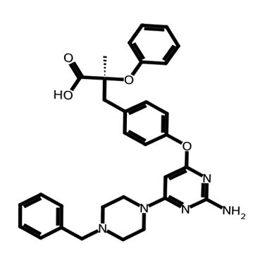 C[C@@](Cc1ccc(Oc2cc(N3CCN(Cc4ccccc4)CC3)nc(N)n2)cc1)(Oc1ccccc1)C(=O)O